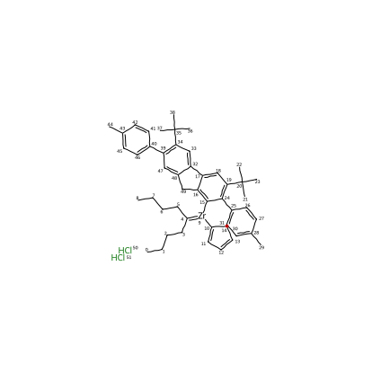 CCCC[C](CCCC)=[Zr]([C]1=CC=CC1)[c]1c2c(cc(C(C)(C)C)c1-c1ccc(C)cc1)-c1cc(C(C)(C)C)c(-c3ccc(C)cc3)cc1C2.Cl.Cl